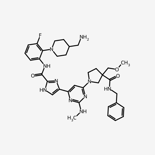 CNc1nc(-c2c[nH]c(C(=O)Nc3cccc(F)c3N3CCC(CN)CC3)n2)cc(N2CCC(COC)(C(=O)NCc3ccccc3)C2)n1